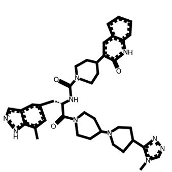 Cc1cc(C[C@H](NC(=O)N2CCC(c3cc4ccccc4[nH]c3=O)CC2)C(=O)N2CCC(N3CCC(c4nncn4C)CC3)CC2)cc2cn[nH]c12